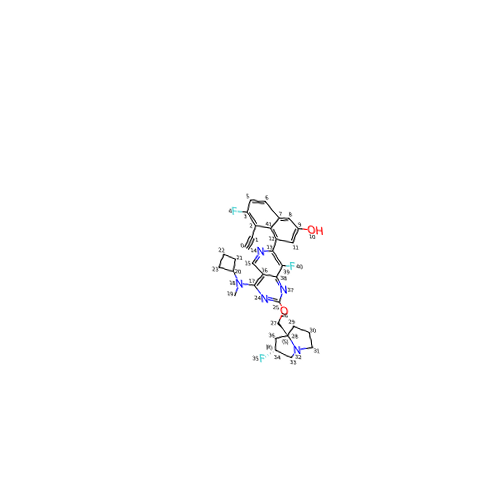 C#Cc1c(F)ccc2cc(O)cc(-c3ncc4c(N(C)C5CCC5)nc(OC[C@@]56CCCN5C[C@H](F)C6)nc4c3F)c12